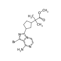 COC(=O)C(C)(C)C1CCC(c2nc(Br)c3c(N)nccn23)C1